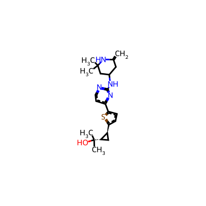 C=C1CC(Nc2nccc(-c3ccc([C@H]4C[C@@H]4C(C)(C)O)s3)n2)CC(C)(C)N1